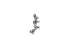 COc1cc(Nc2nccc(-c3ccc(OC4CCN(C(=O)OC(C)(C)C)CC4)c(C#N)c3)n2)ccc1N1CCOCC1